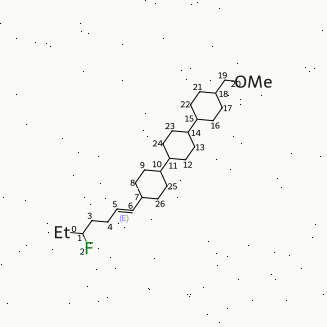 CCC(F)CC/C=C/C1CCC(C2CCC(C3CCC(COC)CC3)CC2)CC1